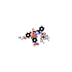 COc1ccc(COC(=O)[C@H](Cc2cn(C(=O)OC(C)(C)C)c3ccccc23)NS(=O)(=O)Oc2ccc([N+](=O)[O-])cc2)c(OC)c1